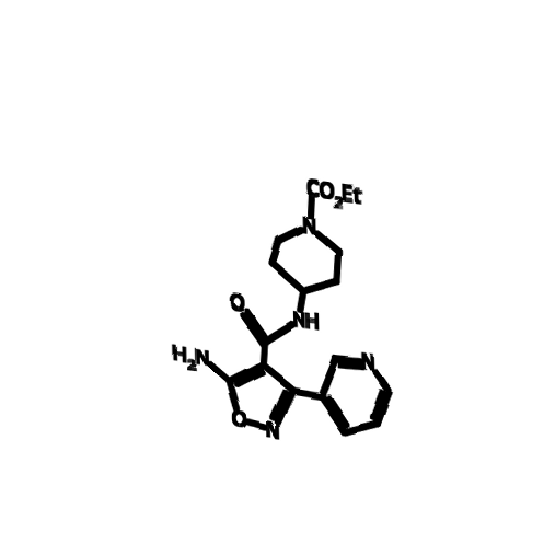 CCOC(=O)N1CCC(NC(=O)c2c(-c3cccnc3)noc2N)CC1